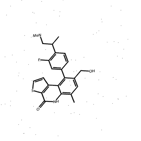 CNCC(C)c1ccc(-c2c(CO)cc(C)c3[nH]c(=O)c4sccc4c23)cc1F